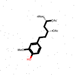 CCCCCCCCC[C@@H](C[C@@H](CCc1ccc(O)c(OC)c1)OC(C)=O)OC(C)=O